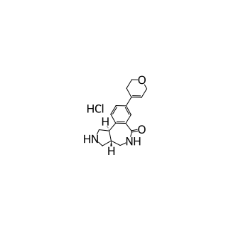 Cl.O=C1NC[C@@H]2CNC[C@H]2c2ccc(C3=CCOCC3)cc21